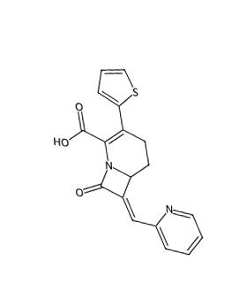 O=C(O)C1=C(c2cccs2)CCC2/C(=C\c3ccccn3)C(=O)N12